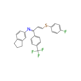 Fc1ccc(SC=CC(=Nc2ccc3c(c2)CCC3)c2ccc(C(F)(F)F)cc2)cc1